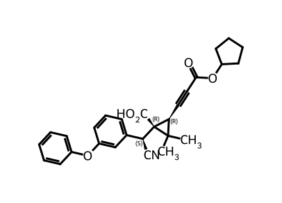 CC1(C)[C@H](C#CC(=O)OC2CCCC2)[C@@]1(C(=O)O)[C@@H](C#N)c1cccc(Oc2ccccc2)c1